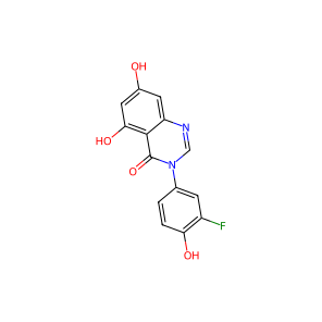 O=c1c2c(O)cc(O)cc2ncn1-c1ccc(O)c(F)c1